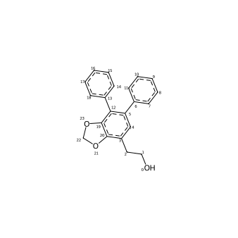 OCCc1[c]c(-c2ccccc2)c(-c2ccccc2)c2c1OCO2